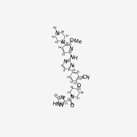 COc1nc(Nc2nccc(-c3ccc(OC4CCN(C(=O)c5n[nH]c(C)n5)CC4)c(C#N)c3)n2)ccc1N1CCN(C)CC1